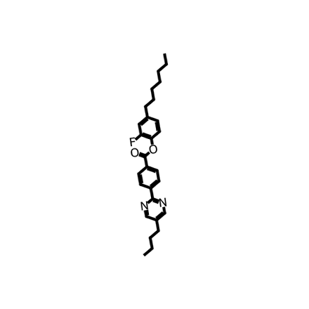 CCCCCCCc1ccc(OC(=O)c2ccc(-c3ncc(CCCC)cn3)cc2)c(F)c1